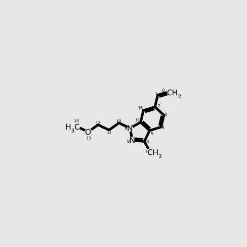 C=Cc1ccc2c(C)nn(CCCOC)c2c1